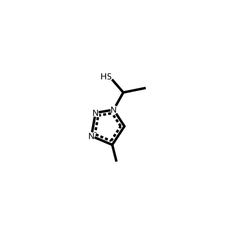 Cc1cn(C(C)S)nn1